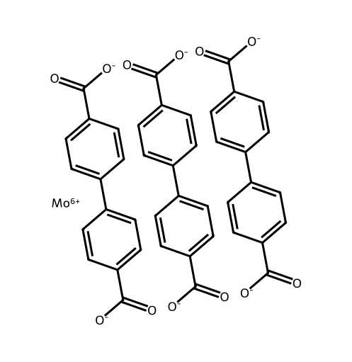 O=C([O-])c1ccc(-c2ccc(C(=O)[O-])cc2)cc1.O=C([O-])c1ccc(-c2ccc(C(=O)[O-])cc2)cc1.O=C([O-])c1ccc(-c2ccc(C(=O)[O-])cc2)cc1.[Mo+6]